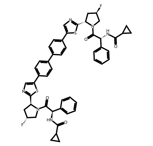 O=C(N[C@@H](C(=O)N1C[C@H](F)C[C@H]1c1ncc(-c2ccc(-c3ccc(-c4cnc([C@@H]5C[C@@H](F)CN5C(=O)[C@H](NC(=O)C5CC5)c5ccccc5)s4)cc3)cc2)s1)c1ccccc1)C1CC1